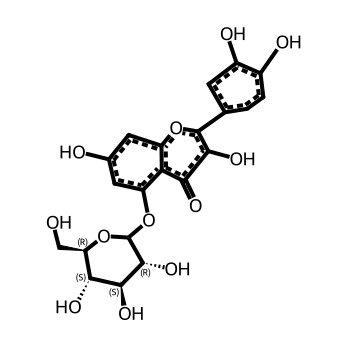 O=c1c(O)c(-c2ccc(O)c(O)c2)oc2cc(O)cc(OC3O[C@H](CO)[C@@H](O)[C@H](O)[C@H]3O)c12